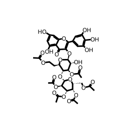 CC(=O)OCC[C@H]1O[C@@H](Oc2c(-c3cc(O)c(O)c(O)c3)oc3cc(O)cc(O)c3c2=O)[C@H](O)[C@@H](OC(C)=O)[C@@H]1O[C@@H]1O[C@H](COC(C)=O)[C@H](OC(C)=O)[C@H](OC(C)=O)[C@H]1OC(C)=O